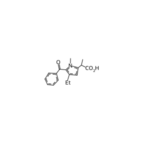 CCc1cc(C(C)C(=O)O)n(C)c1C(=O)c1ccccc1